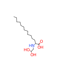 CCCCCCCCCCCCC(NCC(O)O)C(=O)O